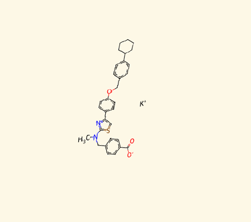 CN(Cc1ccc(C(=O)[O-])cc1)c1nc(-c2ccc(OCc3ccc(C4CCCCC4)cc3)cc2)cs1.[K+]